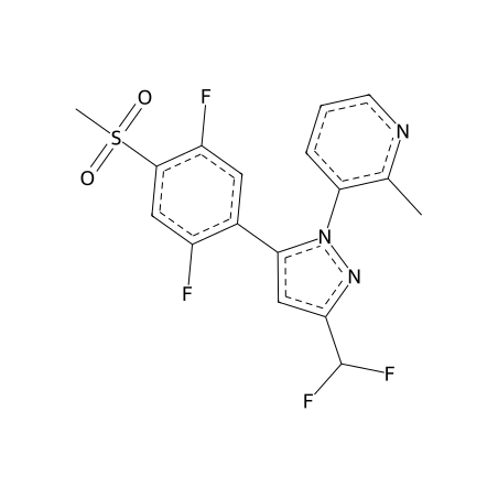 Cc1ncccc1-n1nc(C(F)F)cc1-c1cc(F)c(S(C)(=O)=O)cc1F